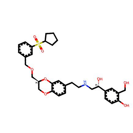 O=S(=O)(c1cccc(COC[C@@H]2COc3ccc(CCNC[C@H](O)c4ccc(O)c(CO)c4)cc3O2)c1)C1CCCC1